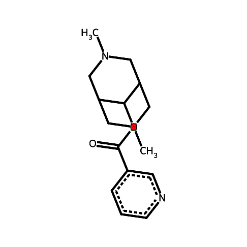 CN1CC2CN(C)CC(C1)C2OC(=O)c1cccnc1